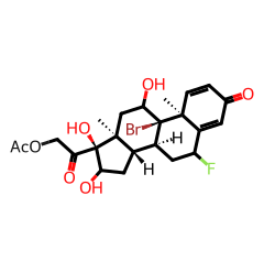 CC(=O)OCC(=O)[C@@]1(O)C(O)C[C@H]2[C@@H]3CC(F)C4=CC(=O)C=C[C@]4(C)[C@@]3(Br)C(O)C[C@@]21C